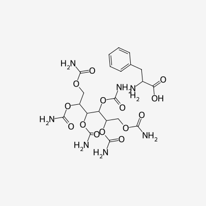 NC(=O)OCC(OC(N)=O)C(OC(N)=O)C(OC(N)=O)C(COC(N)=O)OC(N)=O.NC(Cc1ccccc1)C(=O)O